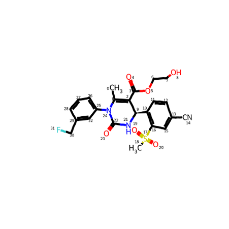 CC1=C(C(=O)OCCO)[C@@H](c2ccc(C#N)cc2S(C)(=O)=O)NC(=O)N1c1cccc(CF)c1